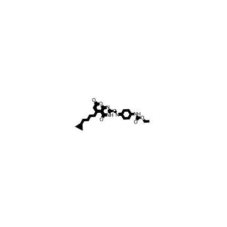 CCOC(=O)NC1CCC(=NOc2nc3oc(=O)cc(CCCCC4CC4)c3c(=O)[nH]2)CC1